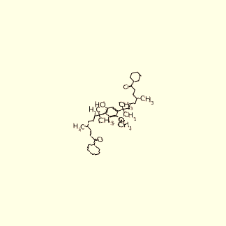 COc1cc(C(C)(C)CCCC(C)CCC(=O)C2CCCCC2)c(O)cc1C(C)(C)CCCC(C)CCC(=O)C1CCCCC1